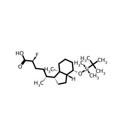 C[C@H](CC[C@H](F)C(=O)O)[C@H]1CC[C@H]2[C@@H](O[Si](C)(C)C(C)(C)C)CCC[C@]12C